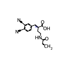 C=CC(=O)NCC/C(=C\c1ccc(C#N)c(C#N)c1)C(=O)O